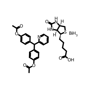 CC(=O)Oc1ccc(C(c2ccc(OC(C)=O)cc2)c2ccccn2)cc1.O=C(O)CCCC[C@@H]1SC[C@@H]2NC(=O)N[C@@H]21.[BiH3]